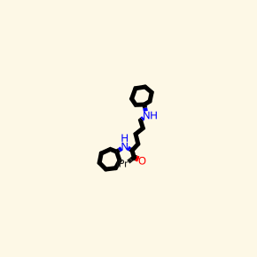 CC(C)C(=O)C(CCCCNC1CCCCCC1)NC1CCCCCC1